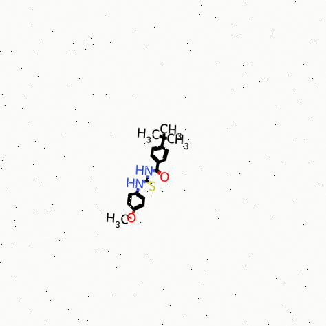 COc1ccc(NC(=S)NC(=O)c2ccc(C(C)(C)C)cc2)cc1